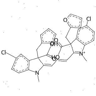 CN1/C(=C/C=C/C2=[N+](C)c3ccc(Cl)cc3C2(Cc2ccco2)C(=O)O)C(Cc2ccco2)(C(=O)O)c2cc(Cl)ccc21